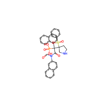 O=CN(C(=O)C(c1cccc2ccccc12)(C1(S(=O)(=O)c2ccccc2)CCNC1)P(=O)(O)O)c1ccc2ccccc2c1